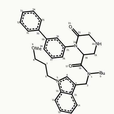 CCC(C)N(Cc1cn(CCCOC)c2ccccc12)C(=O)C1CNCC(=O)N1c1cccc(-c2ccccc2)c1